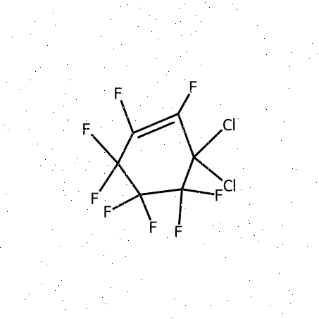 FC1=C(F)C(Cl)(Cl)C(F)(F)C(F)(F)C1(F)F